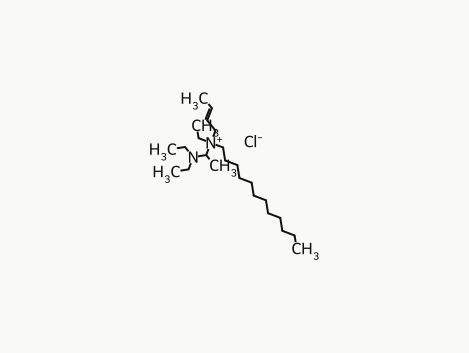 CC=CC[N+](CC)(CCCCCCCCCCCC)C(C)N(CC)CC.[Cl-]